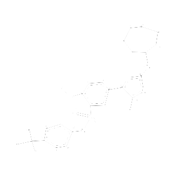 COc1ccc(-c2sc(NC3CCCCCC3)nc2C)cc1S(=O)(=O)Nc1ccc(C(C)(C)C)cc1